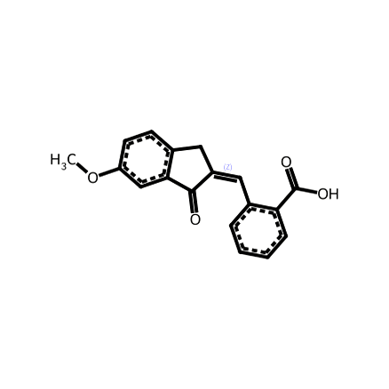 COc1ccc2c(c1)C(=O)/C(=C\c1ccccc1C(=O)O)C2